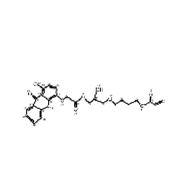 C=CC(=O)OCCCCOCC(O)COC(=O)COc1ccc(Cl)c2c(=O)c3ccccc3sc12